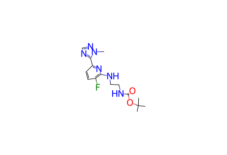 Cn1ncnc1-c1ccc(F)c(NCCNC(=O)OC(C)(C)C)n1